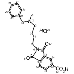 CN(CCCCN1C(=O)c2ccc(C(=O)O)cc2C1=O)Cc1ccccc1.Cl